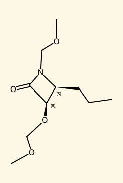 CCC[C@H]1[C@@H](OCOC)C(=O)N1COC